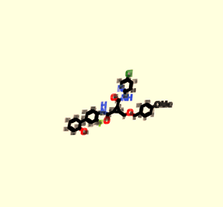 COc1ccc(COCC2C(C(=O)Nc3ccc(Cl)cn3)C2C(=O)Nc2ccc(C3C=CC=CC3=O)cc2F)cc1